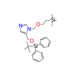 CC(C)(C)[Si](OCc1cncn1COCC[Si](C)(C)C)(c1ccccc1)c1ccccc1